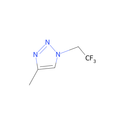 Cc1cn(CC(F)(F)F)nn1